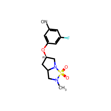 CN1CC2C[C@@H](Oc3cc(F)cc(N=O)c3)CN2S1(=O)=O